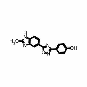 Cc1nc2cc(-c3nc(-c4ccc(O)cc4)no3)ccc2[nH]1